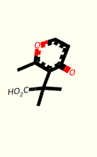 Cc1occc(=O)c1C(C)(C)C(=O)O